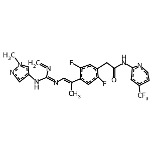 C=N/C(=N\C=C(/C)c1cc(F)c(CC(=O)Nc2cc(C(F)(F)F)ccn2)cc1F)Nc1cnn(C)c1